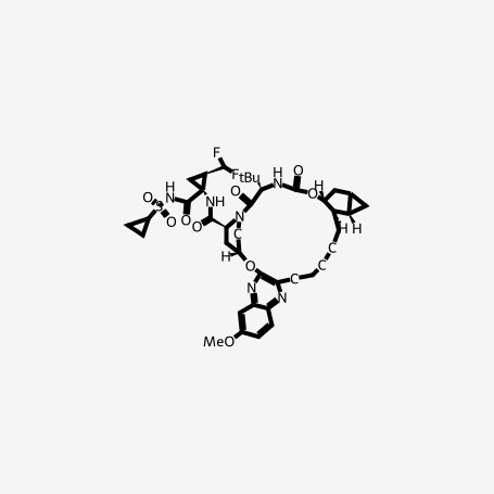 COc1ccc2nc3c(nc2c1)O[C@@H]1C[C@@H](C(=O)N[C@]2(C(=O)NS(=O)(=O)C4CC4)C[C@H]2C(F)F)N(C1)C(=O)[C@H](C(C)(C)C)NC(=O)O[C@@H]1CC2C[C@@H]2[C@H]1CCCCC3